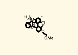 COCCOc1ccc(C(N)=O)c(-c2c(Cl)c(F)cc3c2C[C@@](CN)(c2ccccc2)O3)c1F